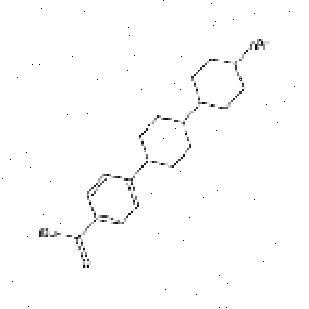 CCCC1CCC(C2CCC(c3ccc(C(=O)C(C)CC)cc3)CC2)CC1